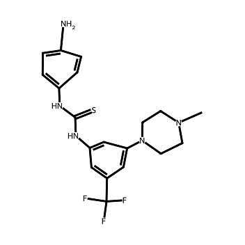 CN1CCN(c2cc(NC(=S)Nc3ccc(N)cc3)cc(C(F)(F)F)c2)CC1